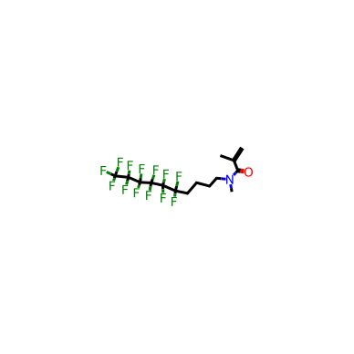 C=C(C)C(=O)N(C)CCCCC(F)(F)C(F)(F)C(F)(F)C(F)(F)C(F)(F)C(F)(F)F